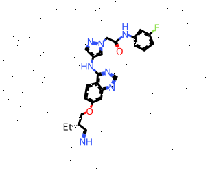 CC[C@@H](C=N)COc1ccc2c(Nc3cnn(CC(=O)Nc4cccc(F)c4)c3)ncnc2c1